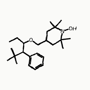 CCC(OCC1CC(C)(C)N(O)C(C)(C)C1)C(c1ccccc1)C(C)(C)C